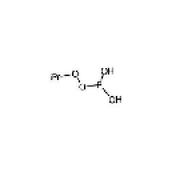 CC(C)OOP(O)O